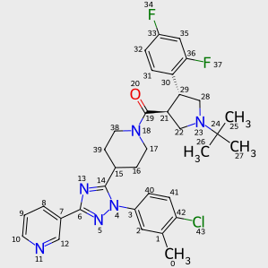 Cc1cc(-n2nc(-c3cccnc3)nc2C2CCN(C(=O)[C@@H]3CN(C(C)(C)C)C[C@H]3c3ccc(F)cc3F)CC2)ccc1Cl